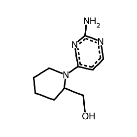 Nc1nccc(N2CCCCC2CO)n1